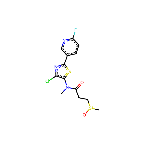 CN(C(=O)CC[S+](C)[O-])c1sc(-c2ccc(F)nc2)nc1Cl